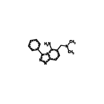 CN(C)Cc1ccc2nnc(-c3ccccc3)n2c1N